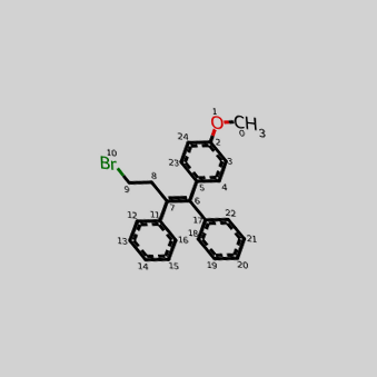 COc1ccc(/C(=C(\CCBr)c2ccccc2)c2ccccc2)cc1